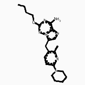 CCCCOc1nc(N)c2ncc(Cc3ccc(N4CCCCC4)nc3C)n2n1